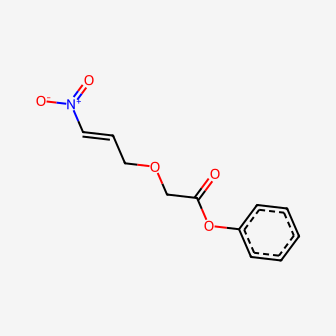 O=C(COCC=C[N+](=O)[O-])Oc1ccccc1